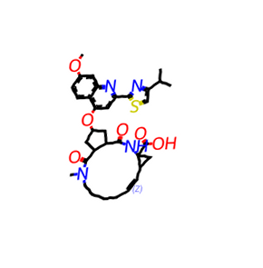 COc1ccc2c(OC3CC4C(=O)NC5(C(=O)O)CC5/C=C\CCCCN(C)C(=O)C4C3)cc(-c3nc(C(C)C)cs3)nc2c1